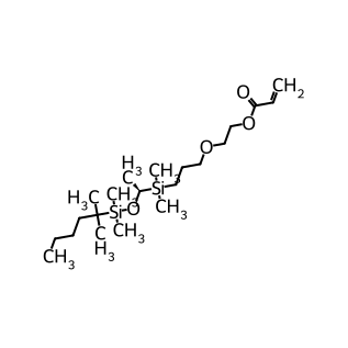 C=CC(=O)OCCOCCC[Si](C)(C)[C@H](C)O[Si](C)(C)C(C)(C)CCCC